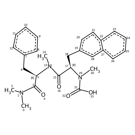 CN(C)C(=O)[C@@H](Cc1ccccc1)N(C)C(=O)[C@@H](Cc1ccc2ccccc2c1)N(C)C(=O)O